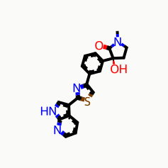 CN1CC[C@](O)(c2cccc(-c3csc(-c4c[nH]c5ncccc45)n3)c2)C1=O